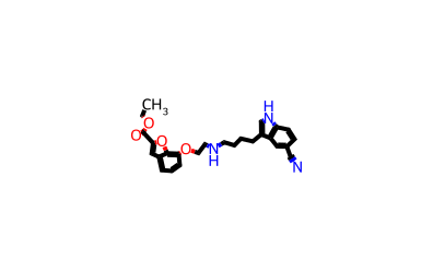 CCOC(=O)c1cc2cccc(OCCNCCCCc3c[nH]c4ccc(C#N)cc34)c2o1